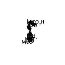 COC(=O)N[C@H](C(=O)N1[C@@H]2C[C@@H]2C[C@H]1c1nc2cc(CCc3ccc4c(ccc5nc([C@@H]6C[C@H]7C[C@H]7N6C(=O)[C@@H](NC(=O)O)C6CCOCC6)[nH]c54)c3)ccc2[nH]1)C(C)C